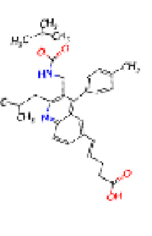 Cc1ccc(-c2c(CNC(=O)OC(C)(C)C)c(CC(C)C)nc3ccc(C=CCCC(=O)O)cc23)cc1